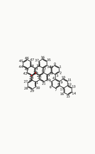 c1ccc(-c2cccc3c2ccc2ccccc23)c(-c2ccc3c(ccc4ccccc43)c2-c2ccccc2-c2cccc3ccccc23)c1